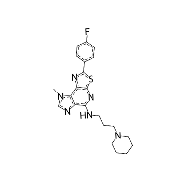 Cn1cnc2c(NCCCN3CCCCC3)nc3sc(-c4ccc(F)cc4)nc3c21